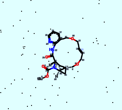 CC(C)(C)OC(=O)N1[C@H]2C[C@@]3(COC/C=C/COCc4cccnc4NC2=O)C[C@@H]13